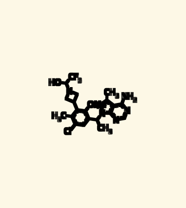 COc1c(C(C)n2nc(C)c3c(N)ncnc32)cc(Cl)c(C)c1C1CN(C(O)C(F)(F)F)C1